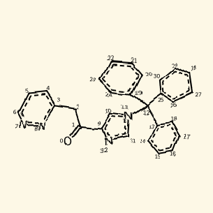 O=C(Cc1cccnn1)c1cn(C(c2ccccc2)(c2ccccc2)c2ccccc2)cn1